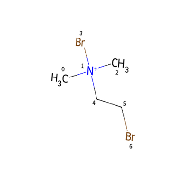 C[N+](C)(Br)CCBr